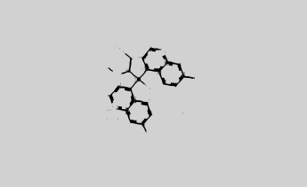 COC(CN)C(N)(c1ccnc2cc(F)ccc12)c1ccnc2cc(F)ccc12.Cl.Cl